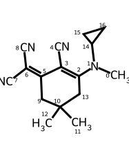 CN(C1=C(C#N)C(=C(C#N)C#N)CC(C)(C)C1)C1CC1